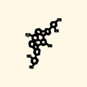 N#Cc1ccc(-c2ccc3c(c2)c2ccccc2n3-c2cc(C#N)cc(-n3c4ccccc4c4cc(-c5ccc(C#N)cc5C#N)ccc43)c2-c2ccc(C(F)(F)F)cc2C(F)(F)F)c(C#N)c1